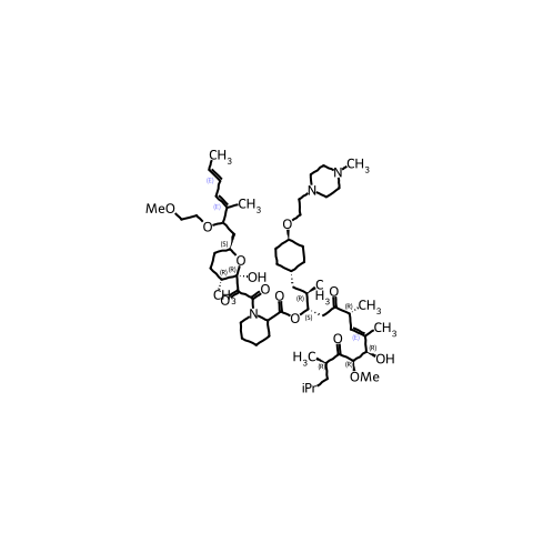 C/C=C/C=C(\C)C(C[C@@H]1CC[C@@H](C)[C@](O)(C(=O)C(=O)N2CCCCC2C(=O)O[C@@H](CC(=O)[C@H](C)/C=C(\C)[C@@H](O)[C@@H](OC)C(=O)[C@H](C)CC(C)C)[C@H](C)C[C@H]2CC[C@H](OCCN3CCN(C)CC3)CC2)O1)OCCOC